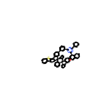 c1ccc(-c2nc(-c3cccc(-c4ccc5c(c4)C4(c6ccccc6C6(c7ccccc7-c7ccccc76)c6ccccc64)c4ccc6c(sc7ccccc76)c4-5)c3)nc(-c3cccc4ccccc34)n2)cc1